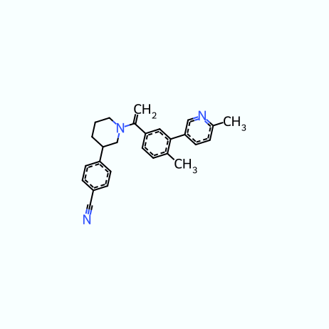 C=C(c1ccc(C)c(-c2ccc(C)nc2)c1)N1CCCC(c2ccc(C#N)cc2)C1